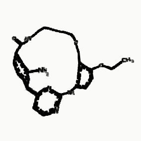 CCOc1ccc2cc1COCCCCNC(=O)c1ccc(c(N)c1)-c1ccnc(n1)N2